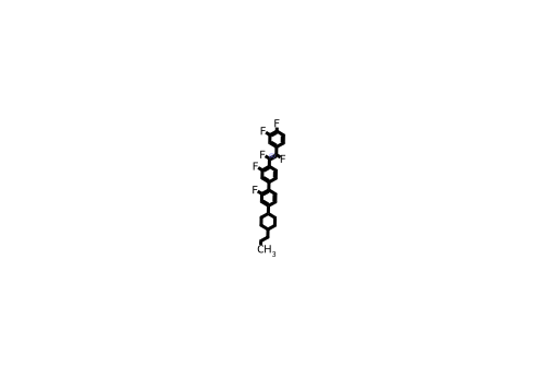 CCCC1CCC(c2ccc(-c3ccc(/C(F)=C(\F)c4ccc(F)c(F)c4)c(F)c3)c(F)c2)CC1